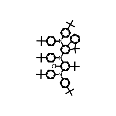 CC(C)(C)c1ccc(N(c2ccc(C(C)(C)C)cc2)c2cc(C(C)(C)C)cc(N(c3ccc(C(C)(C)C)cc3)c3cc(N(c4ccc(C(C)(C)C)cc4)c4ccc(C(C)(C)C)cc4)c4c(c3)C(C)(C)c3ccccc3-4)c2Cl)cc1